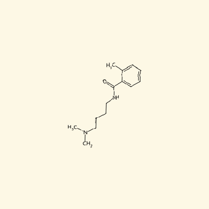 Cc1ccccc1C(=O)NCCCCN(C)C